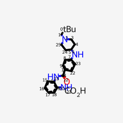 CC(C)(C)CN1CCC(Nc2ccc(C(=O)Nc3ccccc3NC(=O)O)cc2)CC1